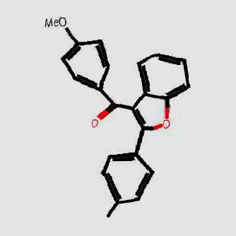 COc1ccc(C(=O)c2c(-c3ccc(C)cc3)oc3ccccc23)cc1